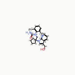 CC(C)c1cccc(C(C)C)c1N(CC1(n2cc(CO)c3cccnc32)CCCC1)C(N)=O